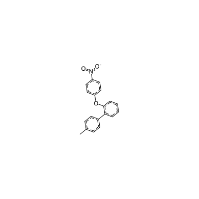 Cc1ccc(-c2ccccc2Oc2ccc([N+](=O)[O-])cc2)cc1